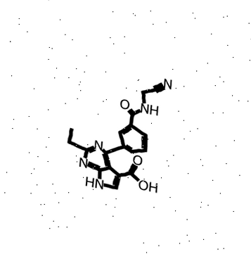 CCc1nc(-c2cccc(C(=O)NCC#N)c2)c2c(C(=O)O)c[nH]c2n1